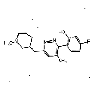 Cc1cc(CC2CCCN(C)C2)nnc1-c1ccc(F)cc1O